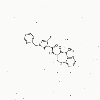 CN1C(=O)C(NC(=O)c2nn(Cc3ccccn3)cc2F)COc2cccnc21